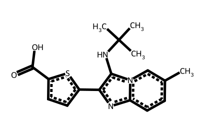 Cc1ccc2nc(-c3ccc(C(=O)O)s3)c(NC(C)(C)C)n2c1